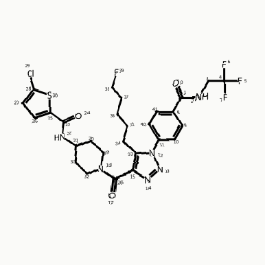 O=C(NCC(F)(F)F)c1ccc(-n2nnc(C(=O)N3CCC(NC(=O)c4ccc(Cl)s4)CC3)c2CCCCCF)cc1